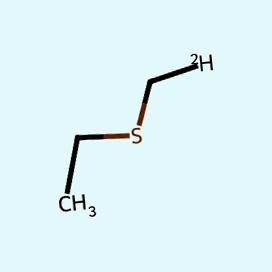 [2H]CSCC